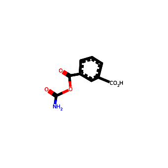 NC(=O)OC(=O)c1cccc(C(=O)O)c1